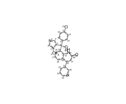 Cn1cncc1C(O)(c1ccc(Cl)cc1)c1cccc2c(-c3cccnc3)cc(=O)[nH]c12